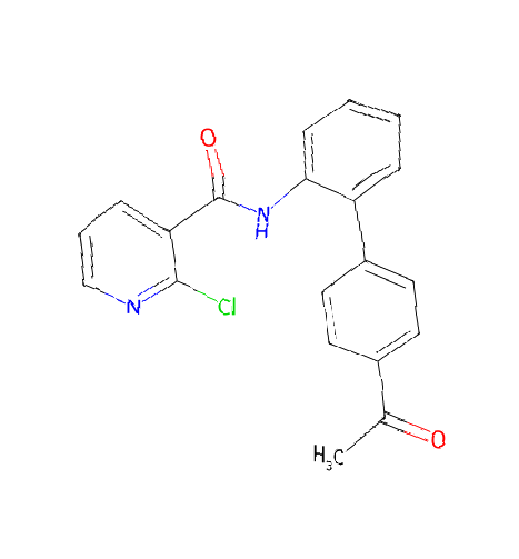 CC(=O)c1ccc(-c2ccccc2NC(=O)c2cccnc2Cl)cc1